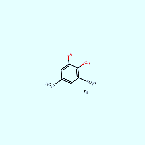 O=S(=O)(O)c1cc(O)c(O)c(S(=O)(=O)O)c1.[Fe]